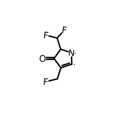 O=C1C(CF)=[C][N]C1C(F)F